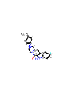 COc1ccc(N2CCN(C(=O)c3[nH]c4ccc(F)cc4c3C)CC2)cc1